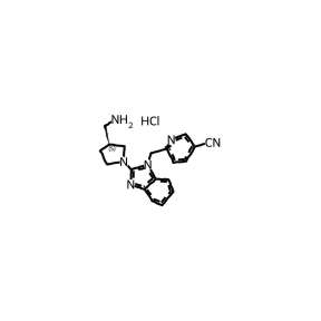 Cl.N#Cc1ccc(Cn2c(N3CC[C@@H](CN)C3)nc3ccccc32)nc1